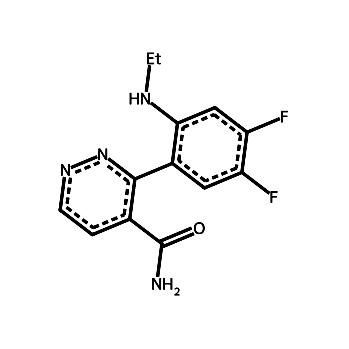 CCNc1cc(F)c(F)cc1-c1nnccc1C(N)=O